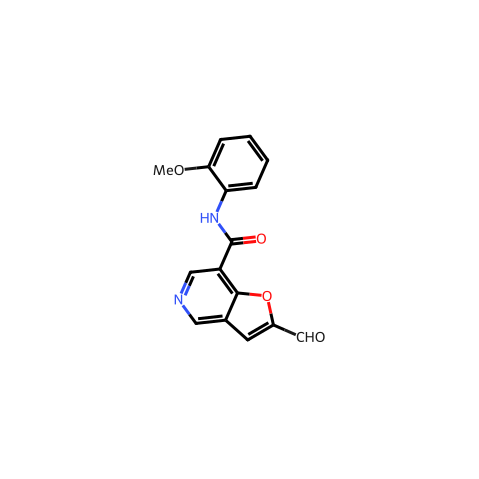 COc1ccccc1NC(=O)c1cncc2cc(C=O)oc12